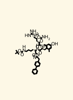 Cc1cc(O)cc(C)c1C[C@H](NC(=O)[C@@H](CCCNC(=N)N)OC(N)=O)C(=O)N[C@@H](CCCCNC(=O)OC(C)(C)C)c1nc(Cc2ccc(-c3ccccc3)cc2)no1